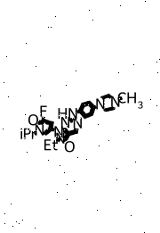 CCn1c(=O)c2cnc(Nc3ccc(N4CCN(C)CC4)cc3)nc2n1-c1cc(F)c(=O)n(C(C)C)c1